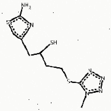 Cn1nnnc1SCCC(S)Cc1csc(N)n1